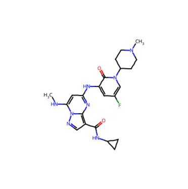 CNc1cc(Nc2cc(F)cn(C3CCN(C)CC3)c2=O)nc2c(C(=O)NC3CC3)cnn12